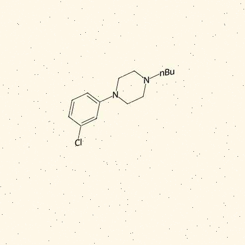 [CH2]CCCN1CCN(c2cccc(Cl)c2)CC1